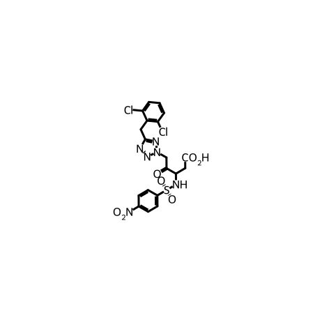 O=C(O)CC(NS(=O)(=O)c1ccc([N+](=O)[O-])cc1)C(=O)Cn1nnc(Cc2c(Cl)cccc2Cl)n1